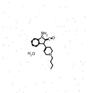 CCCCN1CC=C(C2C(=C=O)N(N)c3ccccc32)CC1.O